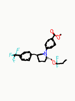 CCC(F)(F)OC[C@@H]1CCC(c2ccc(C(F)(F)F)cc2)CN1c1ccc(C(=O)OC)cc1